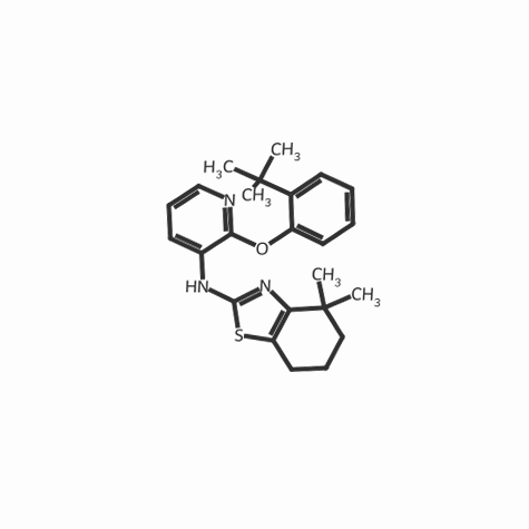 CC(C)(C)c1ccccc1Oc1ncccc1Nc1nc2c(s1)CCCC2(C)C